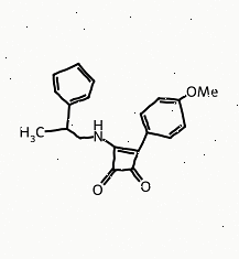 COc1ccc(-c2c(NCC(C)c3ccccc3)c(=O)c2=O)cc1